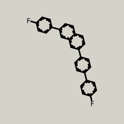 Fc1ccc(-c2ccc(-c3ccc4ccc(-c5ccc(F)cc5)cc4c3)cc2)cc1